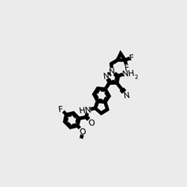 COc1ccc(F)cc1C(=O)NC1CCc2cc(-c3nn(CC4CC4(F)F)c(N)c3C#N)ccc21